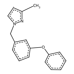 Cc1[c]cn(Cc2cccc(Oc3ccccc3)c2)n1